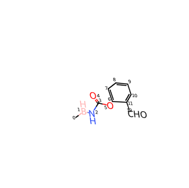 CBNC(=O)Oc1ccccc1C=O